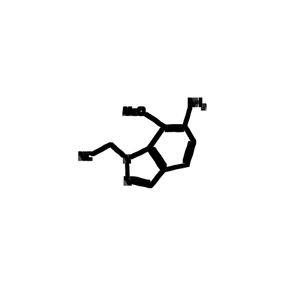 COc1c(N)ccc2cnn(CC#N)c12